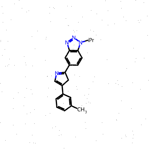 Cc1cccc(C2=CN=C(c3ccc4c(c3)nnn4C(C)C)C2)c1